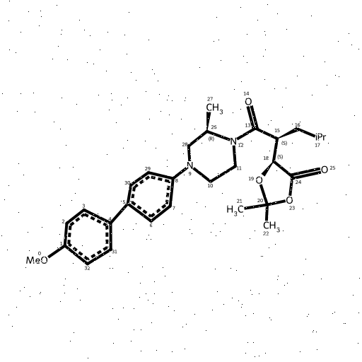 COc1ccc(-c2ccc(N3CCN(C(=O)[C@@H](CC(C)C)[C@@H]4OC(C)(C)OC4=O)[C@H](C)C3)cc2)cc1